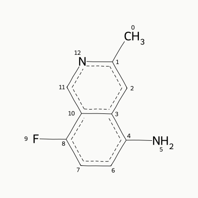 Cc1cc2c(N)ccc(F)c2cn1